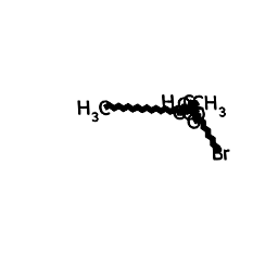 C=C(C)C(OC(=O)CCCCCCCBr)OC(=O)OCCCCCCCCCCCCCCCC